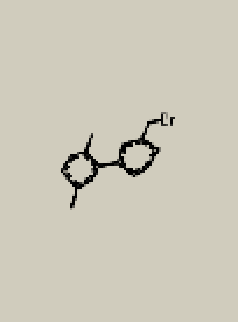 Cc1ccc(C)c(-c2cccc(CBr)c2)c1